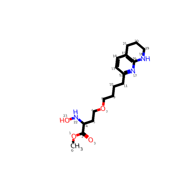 COC(=O)C(CCOCCCCc1ccc2c(n1)NCCC2)NO